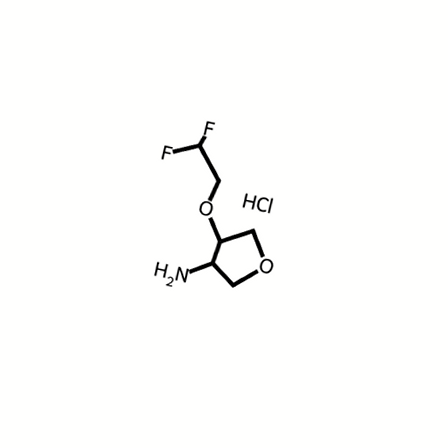 Cl.NC1COCC1OCC(F)F